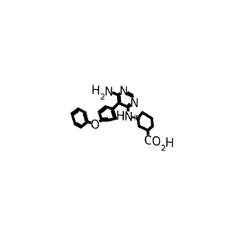 Nc1ncnc(N[C@H]2CCCC(C(=O)O)C2)c1-c1ccc(Oc2ccccc2)cc1